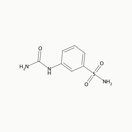 NC(=O)Nc1cccc(S(N)(=O)=O)c1